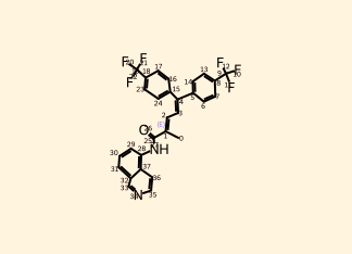 C/C(=C\C=C(c1ccc(C(F)(F)F)cc1)c1ccc(C(F)(F)F)cc1)C(=O)Nc1cccc2cnccc12